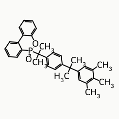 Cc1cc(C(C)(C)c2ccc(C(C)(C)P3(=O)Oc4ccccc4-c4ccccc43)cc2)cc(C)c1C